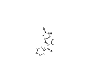 O=C1Cc2cc(C(=O)N3CCOCC3)ccc2N1